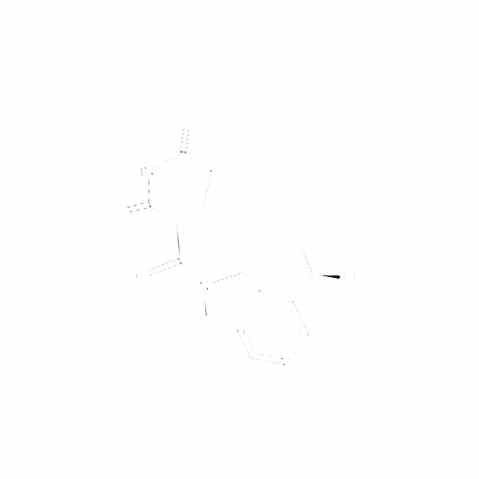 C[C@H](c1cccc2c1CN(C(=O)C1CCC(=O)NC1=O)C2)C(F)(F)F